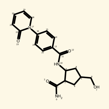 NC(=O)C1CC(CO)CC1NC(=O)c1ccc(-n2ccccc2=O)cc1